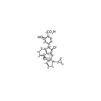 O=C(O)c1ccc(N2C(=O)/C(=C/C3=C(Cl)C=CCC3C3CC3)C3=C2CCC=C3F)cc1O